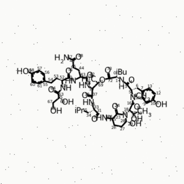 CC[C@@H](C)[C@@H]1NC(=O)[C@H](Cc2ccc(O)cc2)N(C)C(=O)[C@H]([C@@H](C)O)N2C(=O)[C@@H](CC[C@H]2O)NC(=O)[C@H](CC(C)C)NC(=O)[C@@H](NC(=O)C(CCC(N)=O)NC(=O)[C@H](CCc2ccc(O)cc2)NC(=O)[C@H](O)CO)[C@@H](C)OC1=O